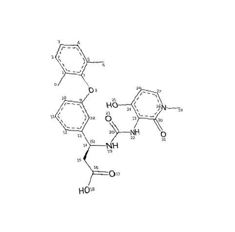 Cc1cccc(C)c1Oc1cccc([C@H](CC(=O)O)NC(=O)Nc2c(O)ccn(C)c2=O)c1